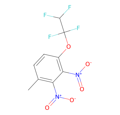 Cc1ccc(OC(F)(F)C(F)F)c([N+](=O)[O-])c1[N+](=O)[O-]